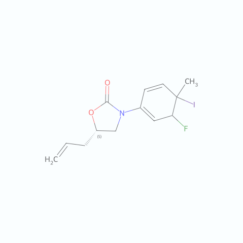 C=CC[C@H]1CN(C2=CC(F)C(C)(I)C=C2)C(=O)O1